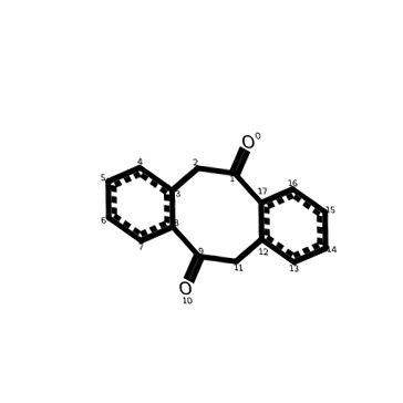 O=C1Cc2ccccc2C(=O)Cc2ccccc21